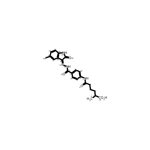 CC(CCCC(=O)Nc1ccc(C(=O)NN=C2C(=O)Nc3ccc(I)cc32)cc1)C(=O)O